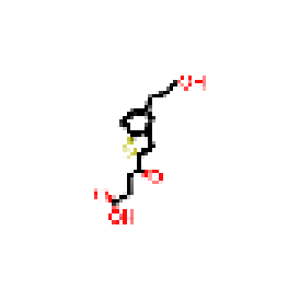 O=C(O)CCC(=O)c1cc2cc(CCCO)ccc2s1